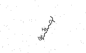 CCC(C)OCCCNCCC[Si](C)(C)OC